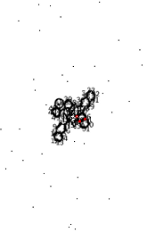 c1ccc(-c2nc(-c3ccc4ccccc4c3)nc(-c3c(-n4c5ccccc5c5cc6ccccc6cc54)ccc4oc5ccccc5c34)n2)cc1